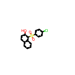 O=S(=O)(c1ccc(Cl)cc1)c1c(O)ccc2ccccc12